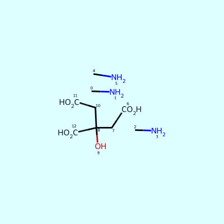 CN.CN.CN.O=C(O)CC(O)(CC(=O)O)C(=O)O